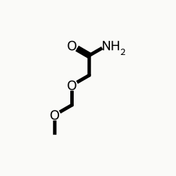 COCOCC(N)=O